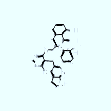 C=C1c2c(C)cccc2C=C(CNc2ncnc(N)c2Cc2cnc3[nH]ccc3c2)N1c1ccccc1C